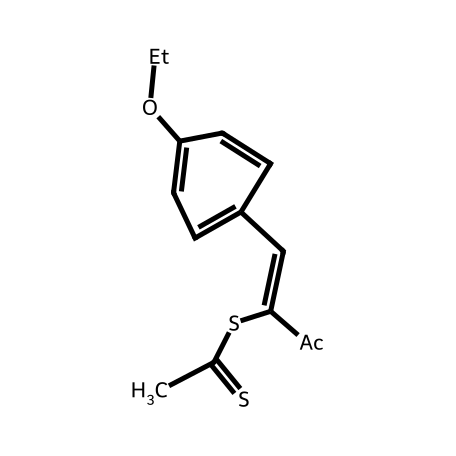 CCOc1ccc(/C=C(\SC(C)=S)C(C)=O)cc1